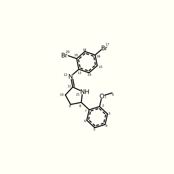 COc1ccccc1C1CCC(=Nc2ccc(Br)cc2Br)N1